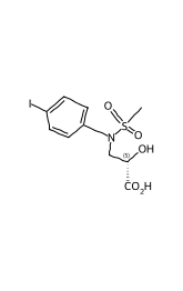 CS(=O)(=O)N(C[C@H](O)C(=O)O)c1ccc(I)cc1